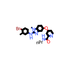 CCCNC(=O)c1cc(Oc2ccc3c(c2)nc(Nc2ccc(Br)c(C)c2)n3C)ccn1